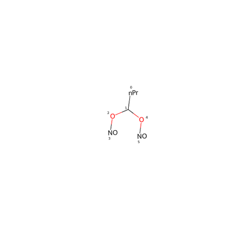 CCCC(ON=O)ON=O